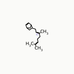 CC(C)=CCC/C(C)=C/CC1CC2C=CC1C2